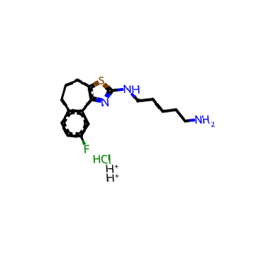 Cl.NCCCCCNc1nc2c(s1)CCCc1ccc(F)cc1-2.[H+].[H+]